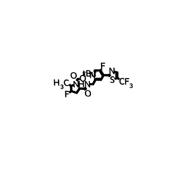 CC1C(F)CC(C(=O)NCc2cc(-c3ncc(C(F)(F)F)s3)c(F)cn2)N1C(=O)OC(C)(C)C